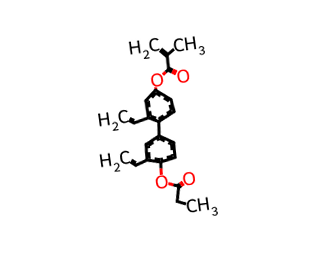 C=Cc1cc(-c2ccc(OC(=O)C(=C)C)cc2C=C)ccc1OC(=O)CC